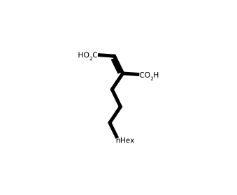 CCCCCCCCC/C(=C\C(=O)O)C(=O)O